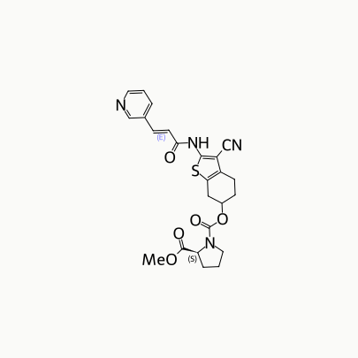 COC(=O)[C@@H]1CCCN1C(=O)OC1CCc2c(sc(NC(=O)/C=C/c3cccnc3)c2C#N)C1